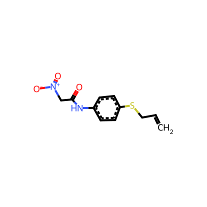 C=CCSc1ccc(NC(=O)C[N+](=O)[O-])cc1